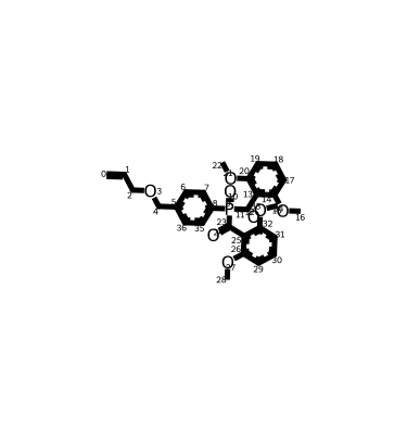 C=CCOCc1ccc(P(=O)(C(=O)c2c(OC)cccc2OC)C(=O)c2c(OC)cccc2OC)cc1